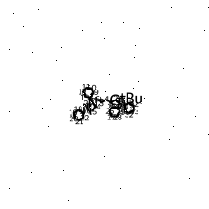 CC(C)(C)[Si](OCCCC[N+]1(c2ccccc2)CCN(c2ccccc2)C1)(c1ccccc1)c1ccccc1